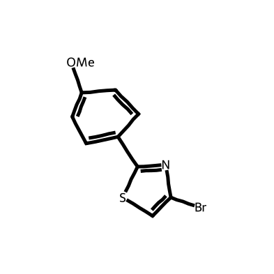 COc1ccc(-c2nc(Br)cs2)cc1